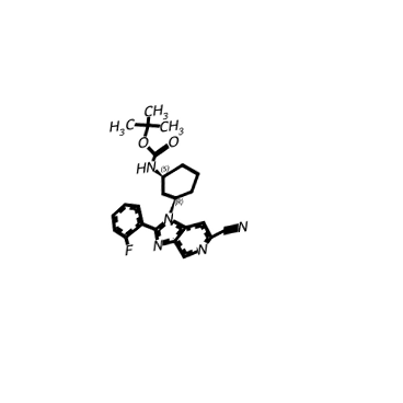 CC(C)(C)OC(=O)N[C@H]1CCC[C@@H](n2c(-c3ccccc3F)nc3cnc(C#N)cc32)C1